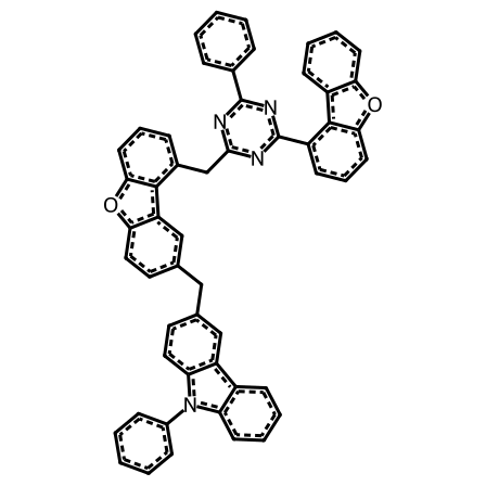 c1ccc(-c2nc(Cc3cccc4oc5ccc(Cc6ccc7c(c6)c6ccccc6n7-c6ccccc6)cc5c34)nc(-c3cccc4oc5ccccc5c34)n2)cc1